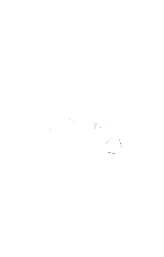 CCN1CCOC(CNC(=O)c2ccccc2)C1